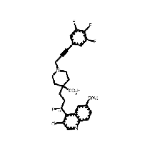 COc1ccc2ncc(Cl)c([C@@H](F)CCC3(C(=O)O)CCN(CC#Cc4cc(F)c(F)c(F)c4)CC3)c2c1